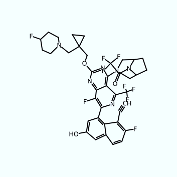 C#Cc1c(F)ccc2cc(O)cc(-c3nc(C(F)(F)F)c4c(N5CC6CCC(C5)N6C(=O)C(F)(F)F)nc(OCC5(CN6CCC(F)CC6)CC5)nc4c3F)c12